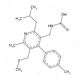 CSCc1c(C)nc(CC(C)C)c(CNC(=O)O)c1-c1ccc(C)cc1